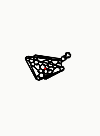 c1ccc2c(c1)C1CC2C23c4c5c6c7c8c9c(c%10c%11c2c2c%12c4c4c%13c5c5c7c7c%14c%15c%16c%17c%18c%19c%20c%21c%22c%23c%24c(c%25c%15c(c%15c9c%10c9c(c%24c%10c%22c(c2c%11c%109)c%21c%12c4c%20c%18c%13c5c%17%14)c%25%15)c87)C%162C4CC(c5ccccc54)C%23%192)C613